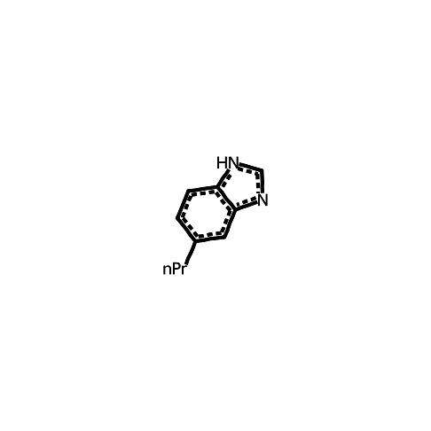 CCCc1ccc2[nH]cnc2c1